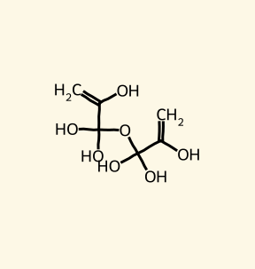 C=C(O)C(O)(O)OC(O)(O)C(=C)O